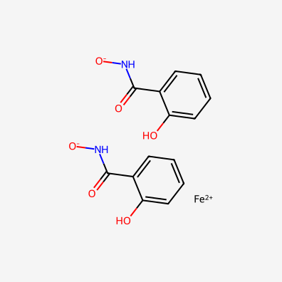 O=C(N[O-])c1ccccc1O.O=C(N[O-])c1ccccc1O.[Fe+2]